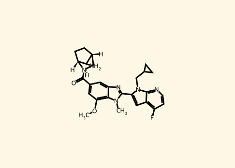 COc1cc(C(=O)N2C[C@H]3CC[C@@H]2[C@@H]3N)cc2nc(-c3cc4c(F)ccnc4n3CC3CC3)n(C)c12